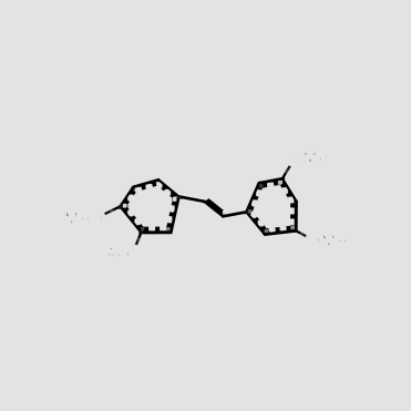 COc1cc(C=Cc2ccc(OC)c(OC(C)=O)c2)cc(OC)c1